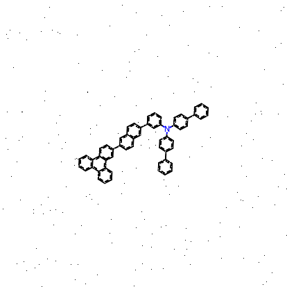 c1ccc(-c2ccc(N(c3ccc(-c4ccccc4)cc3)c3cccc(-c4ccc5cc(-c6ccc7c8ccccc8c8ccccc8c7c6)ccc5c4)c3)cc2)cc1